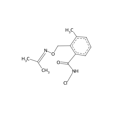 CC(C)=NOCc1c(C)cccc1C(=O)NCl